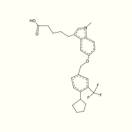 Cn1cc(CCCCC(=O)O)c2cc(OCc3ccc(C4CCCC4)c(C(F)(F)F)c3)ccc21